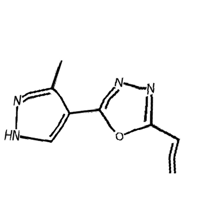 C=Cc1nnc(-c2c[nH]nc2C)o1